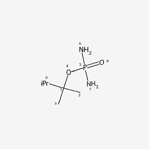 CC(C)C(C)(C)OP(N)(N)=O